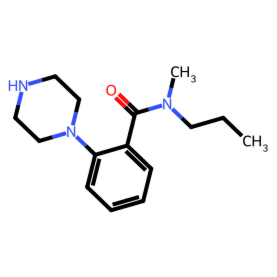 CCCN(C)C(=O)c1ccccc1N1CCNCC1